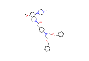 COc1ccc(N2CCN(C)CC2)c2c1CCN(C(=O)Cc1ccc(N(CCOCc3ccccc3)CCOCc3ccccc3)cc1)C2